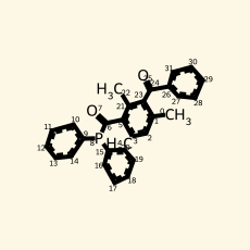 Cc1cc(C)c(C(=O)P(c2ccccc2)c2ccccc2)c(C)c1C(=O)c1ccccc1